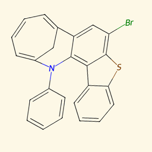 Brc1cc2c(c3c1sc1ccccc13)N(c1ccccc1)C1=CC=CC=C2C1